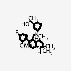 COc1cc(F)ccc1-c1ccc2c(c1CNc1cccc(C(C)O)c1)C(C)=CC(C)(C)N2